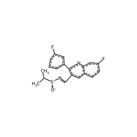 CC(C)[S@+]([O-])/N=C/c1cc2ccc(F)cc2nc1-c1cccc(F)c1